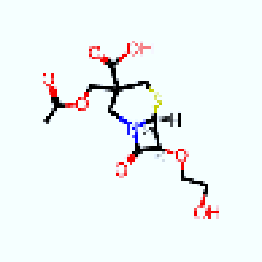 CC(=O)OCC1(C(=O)O)CS[C@@H]2[C@@H](OCCO)C(=O)N2C1